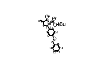 C=C1CC(c2ccc(OCc3ccccc3)cc2)N(C(=O)OC(C)(C)C)C1=O